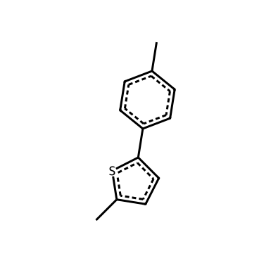 Cc1ccc(-c2ccc(C)s2)cc1